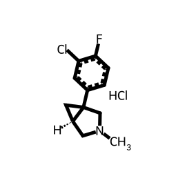 CN1C[C@H]2CC2(c2ccc(F)c(Cl)c2)C1.Cl